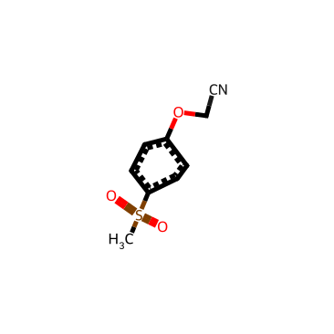 CS(=O)(=O)c1ccc(OCC#N)cc1